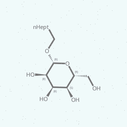 CCCCCCCCO[C@@H]1O[C@H](CO)[C@@H](O)[C@@H](O)[C@H]1O